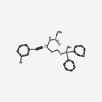 CCCC[S@@+]([O-])N[C@@H](C#Cc1cccc(Br)c1)CCO[Si](c1ccccc1)(c1ccccc1)C(C)(C)C